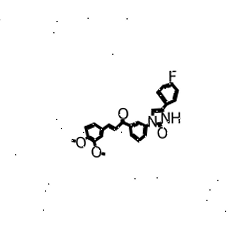 COc1ccc(C=CC(=O)c2cccc(-n3cc(-c4ccc(F)cc4)[nH]c3=O)c2)cc1OC